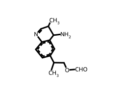 CC(COC=O)c1ccc2c(c1)C(N)C(C)C=N2